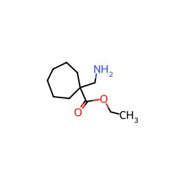 CCOC(=O)C1(CN)CCCCCC1